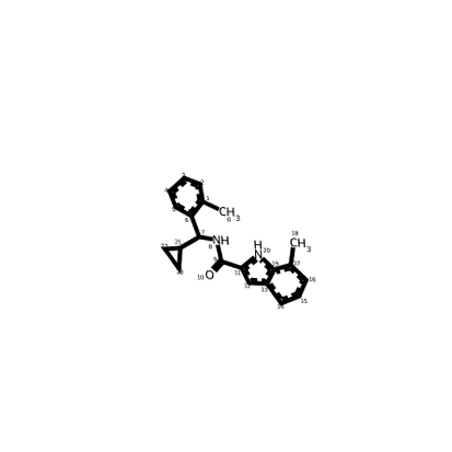 Cc1ccccc1C(NC(=O)c1cc2cccc(C)c2[nH]1)C1CC1